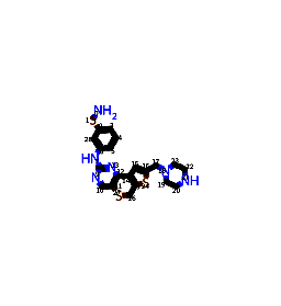 NSc1cccc(Nc2ncc3c(n2)-c2cc(CN4CCNCC4)sc2CS3)c1